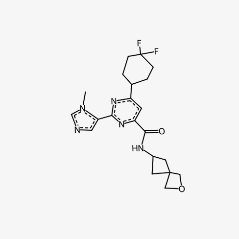 Cn1cncc1-c1nc(C(=O)NC2CC3(COC3)C2)cc(C2CCC(F)(F)CC2)n1